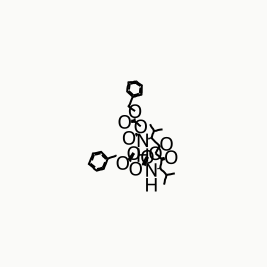 CC(C)[C@H](NC(=O)OC(=O)OCc1ccccc1)C(=O)OC(=O)[C@@H](NC(=O)OC(=O)OCc1ccccc1)C(C)C